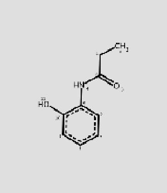 CCC(=O)Nc1ccccc1O